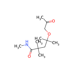 CNC(=O)C(C)(C)CC(C)(C)OCC(C)=O